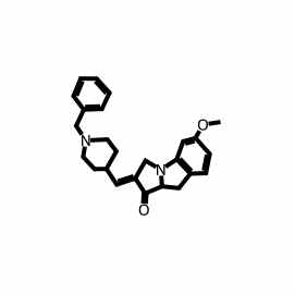 COc1ccc2c(c1)N1CC(=CC3CCN(Cc4ccccc4)CC3)C(=O)C1C2